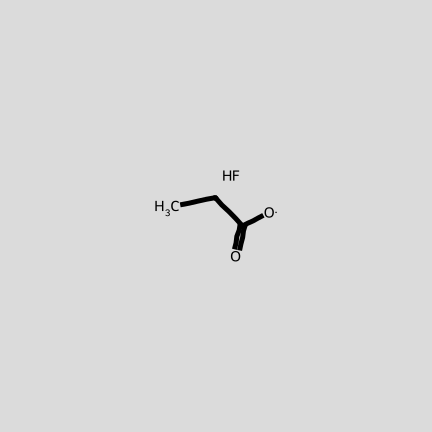 CCC([O])=O.F